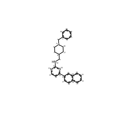 c1ccc(CN2CCC(CNc3nccc(-c4ccc5ccccc5c4)n3)CC2)cc1